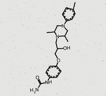 Cc1ccc(N2CC(C)N(CC(O)COc3ccc(NC(N)=O)cc3)C(C)C2)cc1